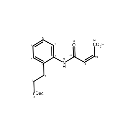 CCCCCCCCCCCCc1ccccc1NC(=O)/C=C\C(=O)O